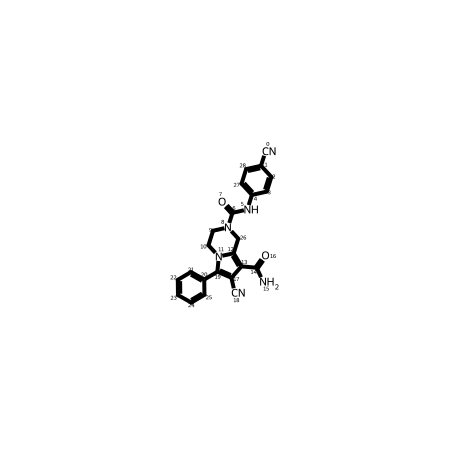 N#Cc1ccc(NC(=O)N2CCn3c(c(C(N)=O)c(C#N)c3-c3ccccc3)C2)cc1